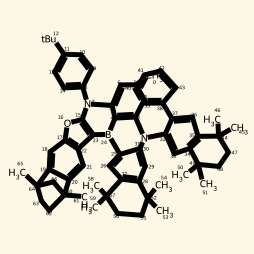 Cc1cc2c3c(c1)N(c1ccc(C(C)(C)C)cc1)c1oc4cc5c(cc4c1B3c1cc3c(cc1N2c1cc2c(cc1-c1ccccc1)C(C)(C)CCC2(C)C)C(C)(C)CCC3(C)C)C1(C)CCC5(C)C1